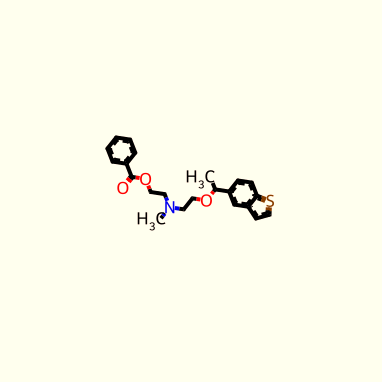 CC(OCCN(C)CCOC(=O)c1ccccc1)c1ccc2sccc2c1